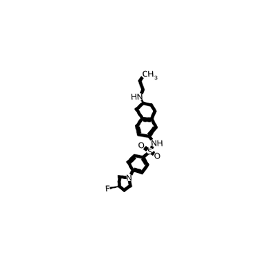 CCCN[C@H]1CCc2cc(NS(=O)(=O)c3ccc(N4CC[C@@H](F)C4)cc3)ccc2C1